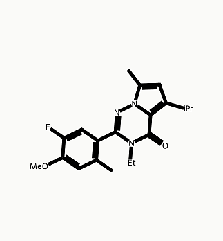 CCn1c(-c2cc(F)c(OC)cc2C)nn2c(C)cc(C(C)C)c2c1=O